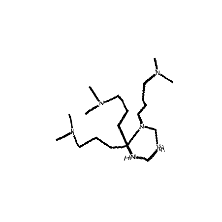 CN(C)CCCN1CNCNC1(CCCN(C)C)CCCN(C)C